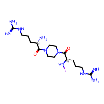 N=C(N)NCCC[C@H](NI)C(=O)N1CCN(C(=O)[C@@H](N)CCCNC(=N)N)CC1